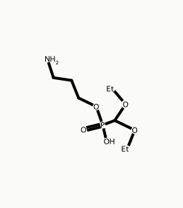 CCOC(OCC)P(=O)(O)OCCCN